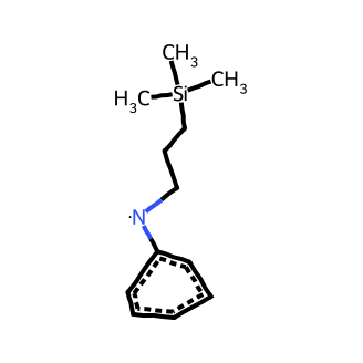 C[Si](C)(C)CCC[N]c1ccccc1